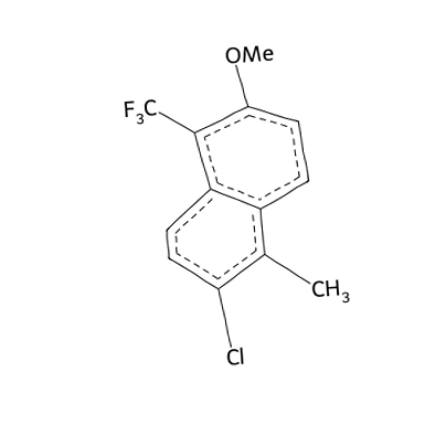 COc1ccc2c(C)c(Cl)ccc2c1C(F)(F)F